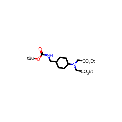 CCOC(=O)CN(CC(=O)OCC)C1CCC(CNC(=O)OC(C)(C)C)CC1